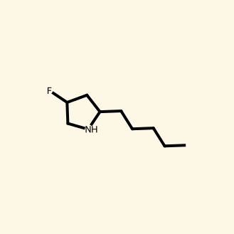 CCCCCC1CC(F)CN1